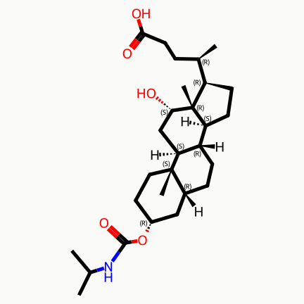 CC(C)NC(=O)O[C@@H]1CC[C@@]2(C)[C@H](CC[C@@H]3[C@@H]2C[C@H](O)[C@]2(C)[C@@H]([C@H](C)CCC(=O)O)CC[C@@H]32)C1